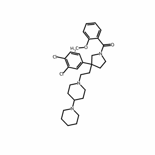 COc1ccccc1C(=O)N1CCC(CCN2CCC(N3CCCCC3)CC2)(c2ccc(Cl)c(Cl)c2)C1